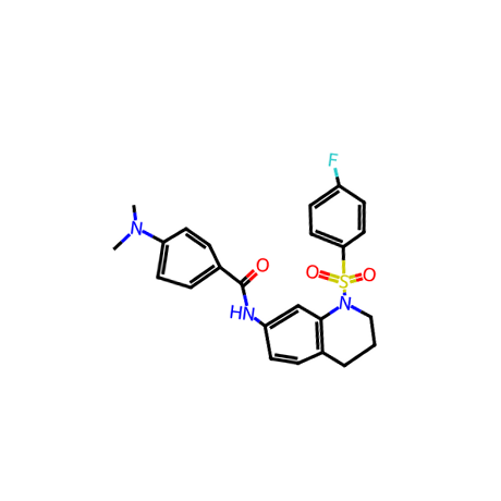 CN(C)c1ccc(C(=O)Nc2ccc3c(c2)N(S(=O)(=O)c2ccc(F)cc2)CCC3)cc1